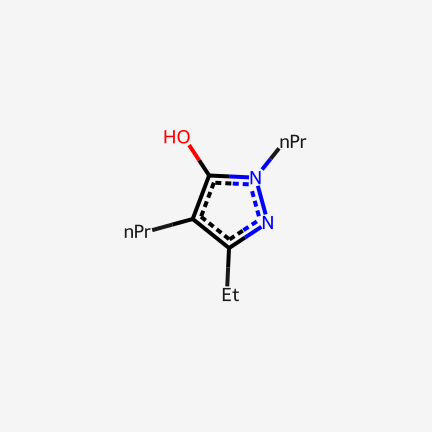 CCCc1c(CC)nn(CCC)c1O